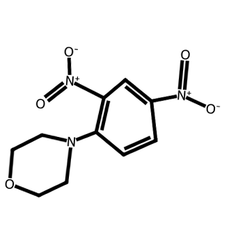 O=[N+]([O-])c1ccc(N2CCOCC2)c([N+](=O)[O-])c1